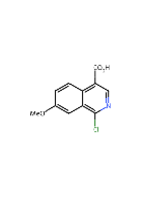 COc1ccc2c(C(=O)O)cnc(Cl)c2c1